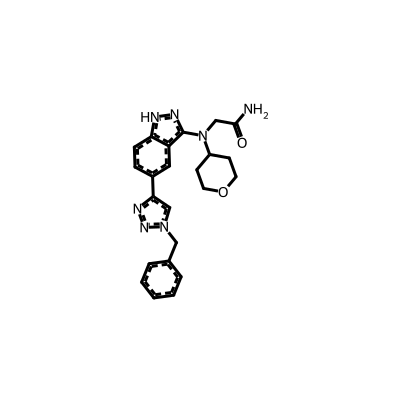 NC(=O)CN(c1n[nH]c2ccc(-c3cn(Cc4ccccc4)nn3)cc12)C1CCOCC1